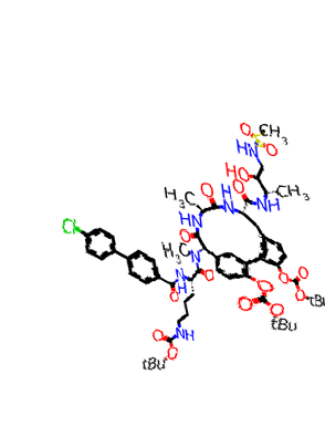 C[C@@H]1NC(=O)[C@@H](N(C)C(=O)[C@H](CCCCNC(=O)OC(C)(C)C)NC(=O)c2ccc(-c3ccc(Cl)cc3)cc2)c2ccc(OC(=O)OC(C)(C)C)c(c2)-c2cc(ccc2OC(=O)OC(C)(C)C)C[C@@H](C(=O)N[C@@H](C)C(O)CNS(C)(=O)=O)NC1=O